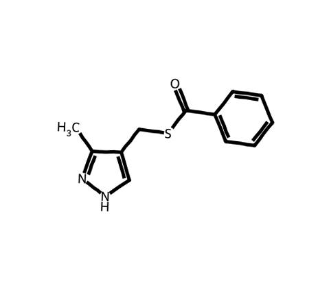 Cc1n[nH]cc1CSC(=O)c1ccccc1